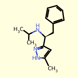 Cc1cc([C@H](Cc2ccccc2)NC(C)C)n[nH]1